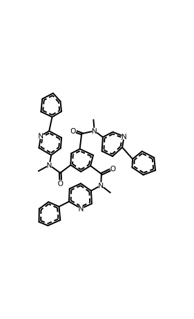 CN(C(=O)c1cc(C(=O)N(C)c2ccc(-c3ccccc3)nc2)cc(C(=O)N(C)c2ccc(-c3ccccc3)nc2)c1)c1ccc(-c2ccccc2)nc1